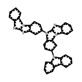 c1ccc2c(c1)nc1sc3cc(-n4c5ccc(-n6c7ccccc7c7ccccc76)cc5n5c6ccccc6nc45)ccc3n12